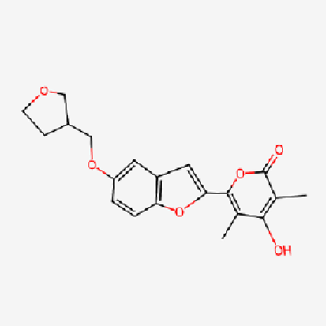 Cc1c(-c2cc3cc(OCC4CCOC4)ccc3o2)oc(=O)c(C)c1O